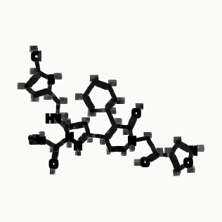 CC(C)(C)C(=O)n1nc(-c2ccn(CC(=O)c3cnoc3)c(=O)c2-c2ccccc2)cc1NCc1ccc(Cl)s1